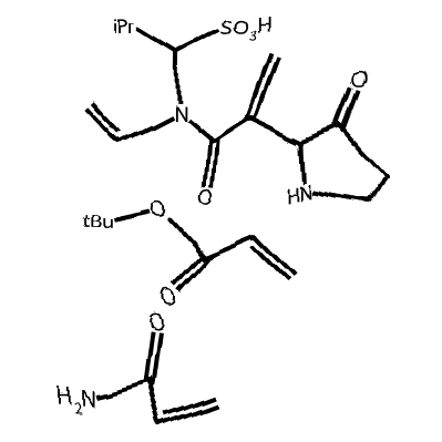 C=CC(=O)OC(C)(C)C.C=CC(N)=O.C=CN(C(=O)C(=C)C1NCCC1=O)C(C(C)C)S(=O)(=O)O